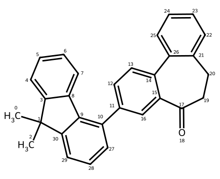 CC1(C)c2ccccc2-c2c(-c3ccc4c(c3)C(=O)CCc3ccccc3-4)cccc21